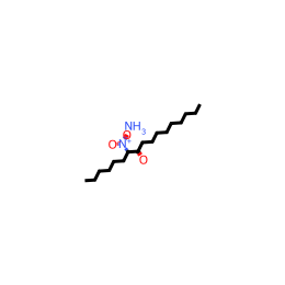 CCCCCCCCCC(=O)C(CCCCCC)[N+](=O)[O-].N